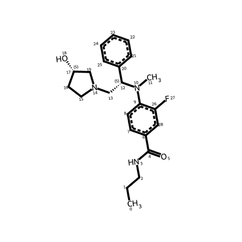 CCCNC(=O)c1ccc(N(C)[C@H](CN2CC[C@H](O)C2)c2ccccc2)c(F)c1